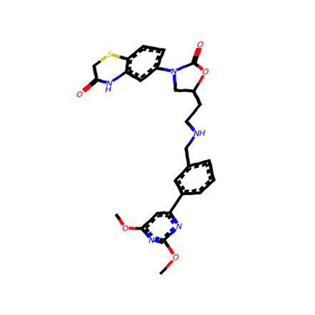 COc1cc(-c2cccc(CNCCC3CN(c4ccc5c(c4)NC(=O)CS5)C(=O)O3)c2)nc(OC)n1